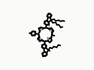 CCCCCCC1(C)c2ccccc2-c2ccc(-c3c4nc(c(C)c5ccc([nH]5)c(-c5ccc6c(c5)C(CCCCCC)(CCCCCC)c5ccccc5-6)c5nc(c(-c6ccc(C)cc6)c6ccc3[nH]6)C=C5)C=C4)cc21